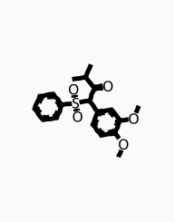 COc1ccc(C(C(=O)C(C)C)S(=O)(=O)c2ccccc2)cc1OC